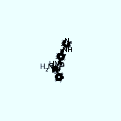 Nc1cn(-c2ccccc2)nc1NC(=O)c1ccc(CNc2ccncc2)cc1